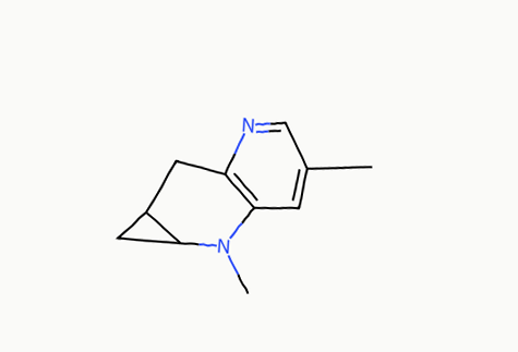 Cc1cnc2c(c1)N(C)C1CC1C2